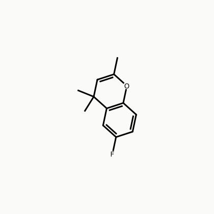 CC1=CC(C)(C)c2cc(F)ccc2O1